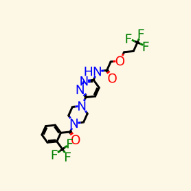 O=C(COCCC(F)(F)F)Nc1ccc(N2CCN(C(=O)c3ccccc3C(F)(F)F)CC2)nn1